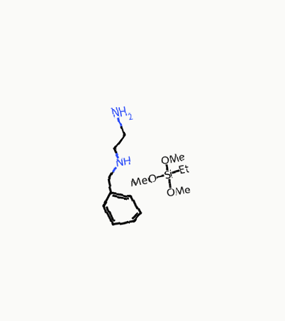 CC[Si](OC)(OC)OC.NCCNCc1ccccc1